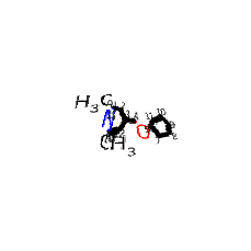 Cc1cc(COc2cc[c]cc2)cc(C)n1